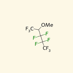 COC(C(F)(F)F)C(F)(F)C(F)(F)C(F)(F)F